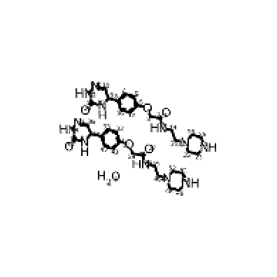 O.O=C(COc1ccc(C2C=NNC(=O)N2)cc1)NCCN1CCNCC1.O=C(COc1ccc(C2C=NNC(=O)N2)cc1)NCCN1CCNCC1